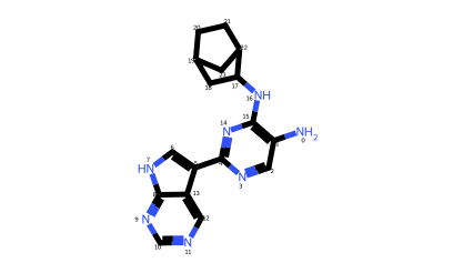 Nc1cnc(-c2c[nH]c3ncncc23)nc1NC1CC2CCC1C2